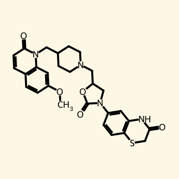 COc1ccc2ccc(=O)n(CC3CCN(CC4CN(c5ccc6c(c5)NC(=O)CS6)C(=O)O4)CC3)c2c1